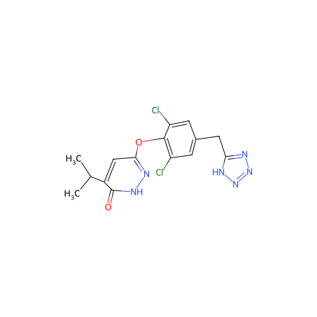 CC(C)c1cc(Oc2c(Cl)cc(Cc3nnn[nH]3)cc2Cl)n[nH]c1=O